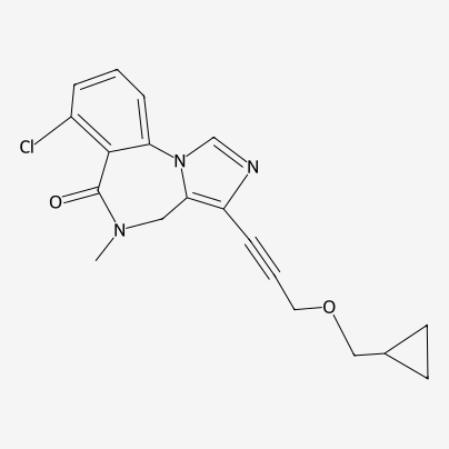 CN1Cc2c(C#CCOCC3CC3)ncn2-c2cccc(Cl)c2C1=O